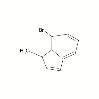 CC1C=Cc2cccc(Br)c21